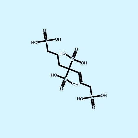 O=P(O)(O)CC=CC(CCCP(=O)(O)O)(P(=O)(O)O)P(=O)(O)O